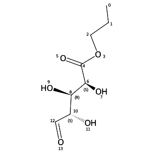 CCCOC(=O)[C@@H](O)[C@H](O)[C@H](O)C=O